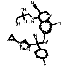 [2H]C(Nc1cc(Cl)c2ncc(C#N)c(NCC(C)(C)CO)c2c1)(c1ccc(F)cc1)c1cn(C2CC2)nn1